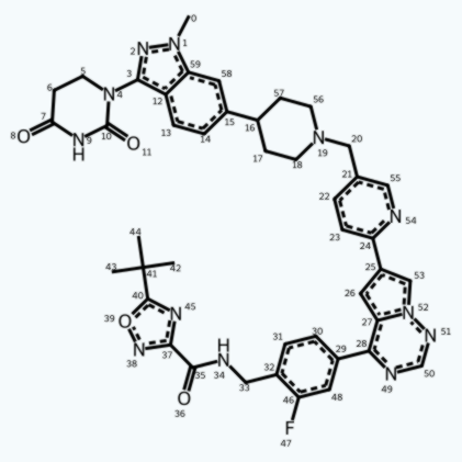 Cn1nc(N2CCC(=O)NC2=O)c2ccc(C3CCN(Cc4ccc(-c5cc6c(-c7ccc(CNC(=O)c8noc(C(C)(C)C)n8)c(F)c7)ncnn6c5)nc4)CC3)cc21